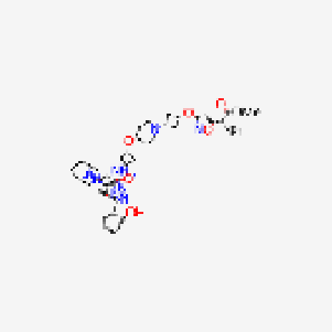 COC(=O)C(c1cc(O[C@H]2C[C@H](N3CCC(O[C@H]4C[C@H](Oc5cc(N6C7CCC6CN(c6cc(-c8ccccc8O)nnc6N)C7)ccn5)C4)CC3)C2)no1)C(C)C